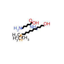 C[PH](C)(C)CCCCCCCCCCCCO.NCCCCC(N)C(=O)O